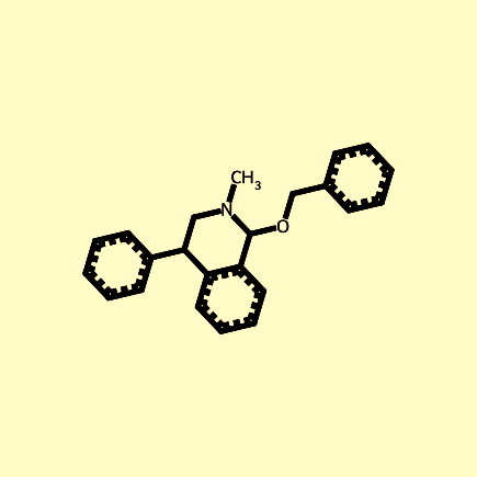 CN1CC(c2ccccc2)c2ccccc2C1OCc1ccccc1